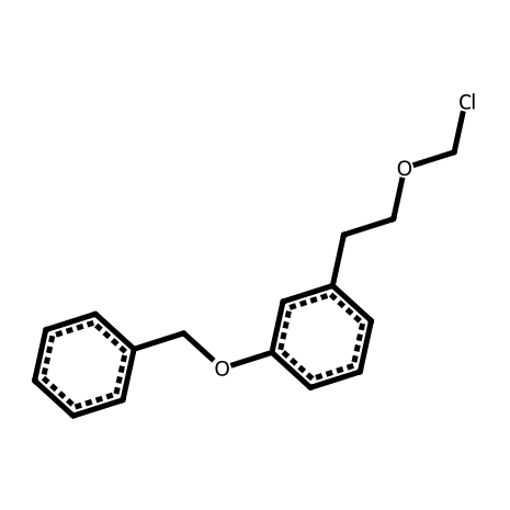 ClCOCCc1cccc(OCc2ccccc2)c1